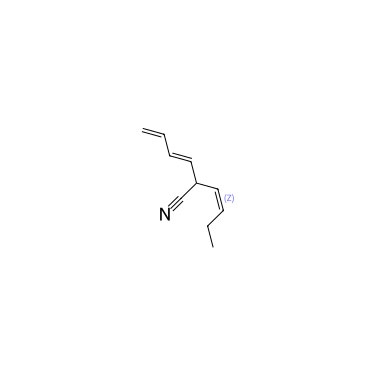 C=CC=CC(C#N)/C=C\CC